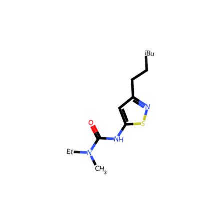 CCC(C)CCc1cc(NC(=O)N(C)CC)sn1